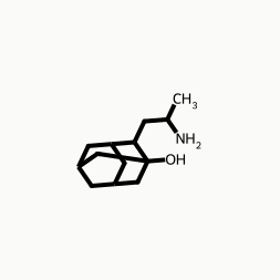 CC(N)CC1C2CC3CC(C2)CC1(O)C3